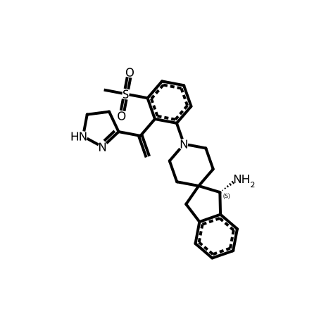 C=C(C1=NNCC1)c1c(N2CCC3(CC2)Cc2ccccc2[C@H]3N)cccc1S(C)(=O)=O